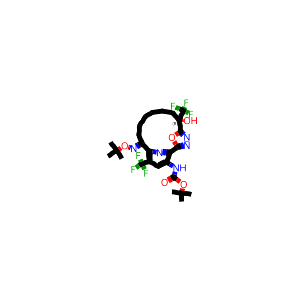 CC(C)(C)ON=C1CCCCCC[C@](O)(C(F)(F)F)c2nnc(o2)-c2nc1c(C(F)(F)F)cc2NC(=O)OC(C)(C)C